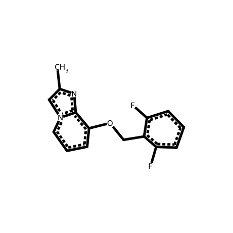 Cc1cn2cccc(OCc3c(F)cccc3F)c2n1